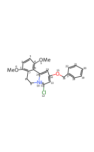 COc1ccc(OC)c2c1CC[n+]1c(Cl)cc(OCc3ccccc3)cc1-2